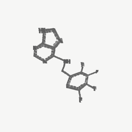 Fc1cc(CNc2ncnc3[nH]cnc23)c(F)c(F)c1F